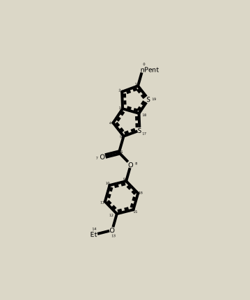 CCCCCc1cc2cc(C(=O)Oc3ccc(OCC)cc3)sc2s1